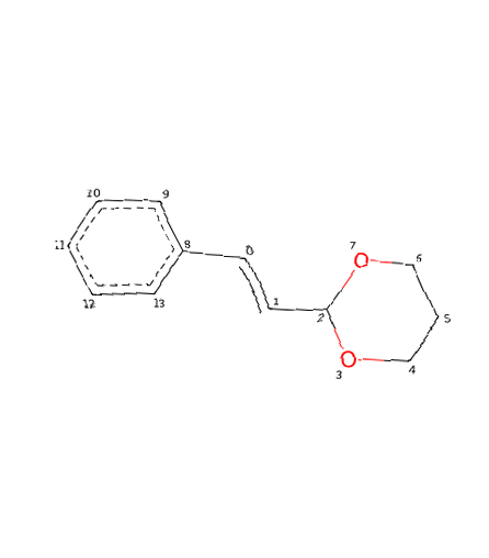 C(=CC1OCCCO1)c1ccccc1